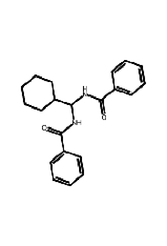 O=C(NC(NC(=O)c1ccccc1)C1CCCCC1)c1ccccc1